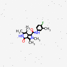 Cc1cc(NC(=O)c2c3c(C)c(C)[nH]c(=O)c3c(C)n2C)ccc1F